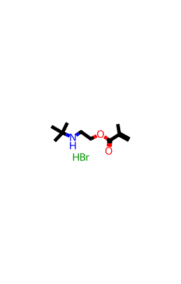 Br.C=C(C)C(=O)OCCNC(C)(C)C